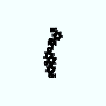 N#Cc1cccc(-c2nc(COc3ccc4c(=O)n(-c5ccc(O)cc5)cnc4c3)no2)c1